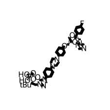 CC(C)(C)C(Cn1ncn(-c2ccc(N3CCN(c4ccc(OC[C@@H]5CO[C@@](Cn6cncn6)(c6ccc(F)cc6)O5)cc4)CC3)cc2)c1=O)OP(=O)(O)O